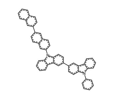 c1ccc(-n2c3ccccc3c3cc(-c4ccc5c(c4)c4ccccc4n5-c4ccc5cc(-c6ccc7ccccc7c6)ccc5c4)ccc32)cc1